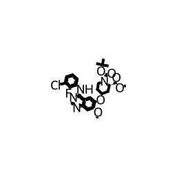 COC(=O)[C@@H]1C[C@@H](Oc2cc3c(Nc4cccc(Cl)c4F)ncnc3cc2OC)CCN1C(=O)OC(C)(C)C